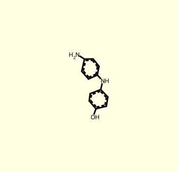 Nc1ccc(Nc2ccc(O)cc2)cc1